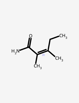 CC/C(C)=C(/C)C(N)=O